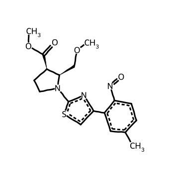 COC[C@@H]1[C@H](C(=O)OC)CCN1c1nc(-c2cc(C)ccc2N=O)cs1